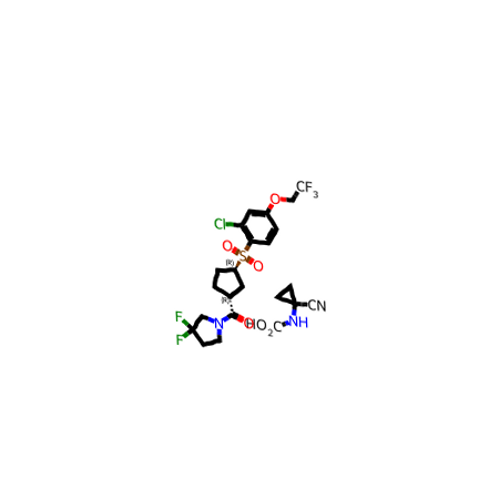 N#CC1(NC(=O)O)CC1.O=C([C@@H]1CC[C@@H](S(=O)(=O)c2ccc(OCC(F)(F)F)cc2Cl)C1)N1CCC(F)(F)C1